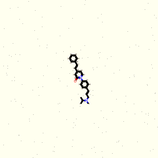 CC(C)N(C)CC=Cc1ccc(-n2ccc(C=Cc3ccccc3)cc2=O)cc1